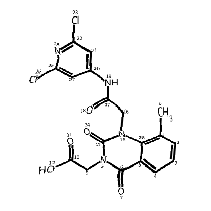 Cc1cccc2c(=O)n(CC(=O)O)c(=O)n(CC(=O)Nc3cc(Cl)nc(Cl)c3)c12